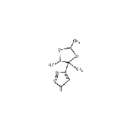 CC1OC(C)C(C)(c2c[nH]nn2)O1